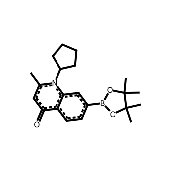 Cc1cc(=O)c2ccc(B3OC(C)(C)C(C)(C)O3)cc2n1C1CCCC1